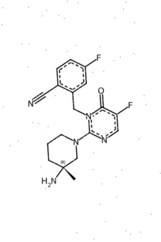 C[C@@]1(N)CCCN(c2ncc(F)c(=O)n2Cc2cc(F)ccc2C#N)C1